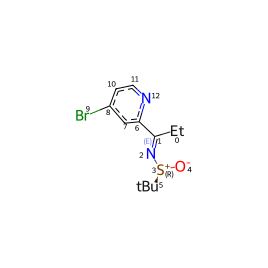 CC/C(=N\[S@@+]([O-])C(C)(C)C)c1cc(Br)ccn1